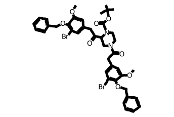 COc1cc(CC(=O)C2CN(C(=O)Cc3cc(Br)c(OCc4ccccc4)c(OC)c3)CCN2C(=O)OC(C)(C)C)cc(Br)c1OCc1ccccc1